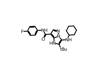 CC(C)(C)c1[nH]c2c(C(=O)Nc3ccc(F)cc3)cnn2c1NC1CCCCC1